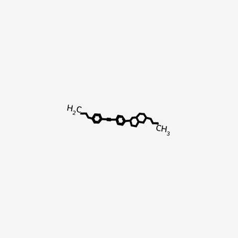 C=CCCc1ccc(C#Cc2ccc(C3CCC4CC(CCCC)CCC4C3)cc2)cc1